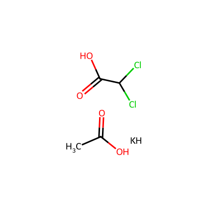 CC(=O)O.O=C(O)C(Cl)Cl.[KH]